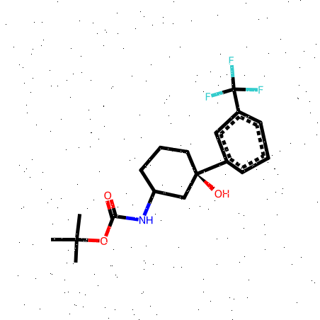 CC(C)(C)OC(=O)NC1CCC[C@](O)(c2cccc(C(F)(F)F)c2)C1